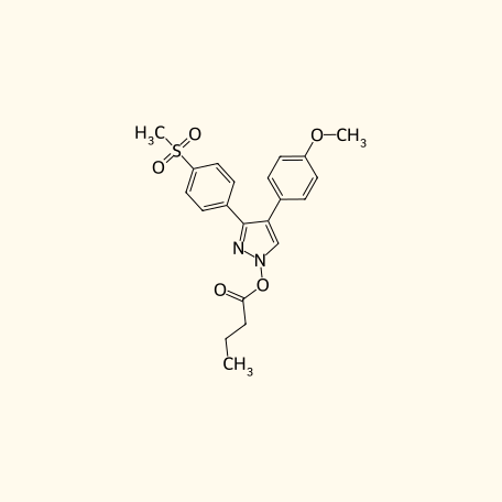 CCCC(=O)On1cc(-c2ccc(OC)cc2)c(-c2ccc(S(C)(=O)=O)cc2)n1